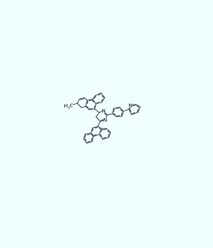 CC1C=Cc2c(cc(C3CC(c4cc5ccccc5c5ccccc45)=NC(c4ccc(-c5ccccn5)cc4)=N3)c3ccccc23)C1